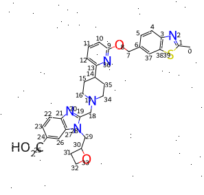 Cc1nc2ccc(COc3cccc(C4CCN(Cc5nc6ccc(C(=O)O)cc6n5CC5CCO5)CC4)n3)cc2s1